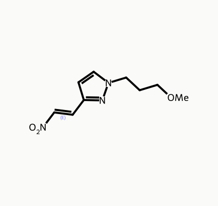 COCCCn1ccc(/C=C/[N+](=O)[O-])n1